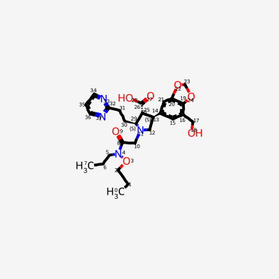 CCCON(CCC)C(=O)CN1C[C@H](c2cc(CO)c3c(c2)OCO3)[C@@H](C(=O)O)[C@@H]1CCc1ncccn1